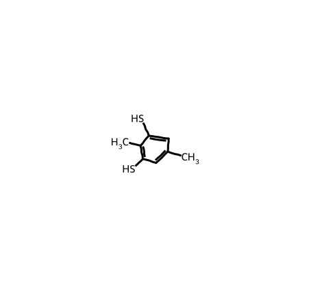 Cc1cc(S)c(C)c(S)c1